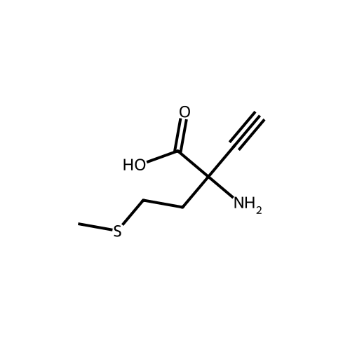 C#CC(N)(CCSC)C(=O)O